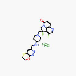 Cl.Cl.O=c1ccc2ncc(F)c3c2n1CC3(F)CN1CCC(NCc2cc3c(nn2)OCCS3)CC1